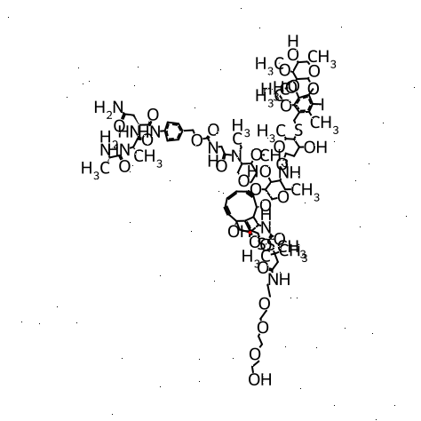 CCN(C(=O)CNC(=O)OCc1ccc(NC(=O)[C@H](CC(N)=O)NC(=O)[C@H](C)NC(=O)[C@H](C)N)cc1)C1COC(OC2C(O[C@H]3C#C/C=C\C#C[C@]4(O)CC(=O)C(NC(=O)OC)C3/C4=C\CSSC(C)(C)CC(=O)NCCOCCOCCOCCO)OC(C)C(NOC3CC(O)C(SCc4c(C)c(I)c(OC5OC(C)C(O)C(OC)C5O)c(OC)c4OC)C(C)O3)C2O)CC1OC